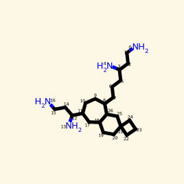 NCCC(N)CCCC1CCC(C(N)CCN)CC2CCC3(CCC3)CC12